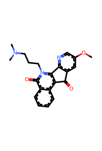 COc1cnc2c(c1)C(=O)c1c-2n(CCCN(C)C)c(=O)c2ccccc12